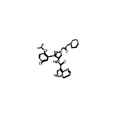 O=C(CN1CCCCC1)Cn1cc(NC(=O)C2=C3N=CC=CN3NC2)c(-c2cc(Cl)ccc2OC(F)F)n1